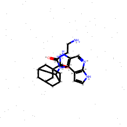 NCCNC(=O)C12CC3CC(C1)C(n1c(=O)[nH]c4cnc5[nH]ccc5c41)C(C3)C2